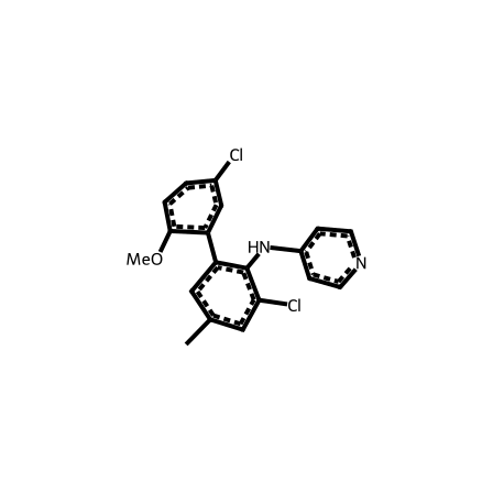 COc1ccc(Cl)cc1-c1cc(C)cc(Cl)c1Nc1ccncc1